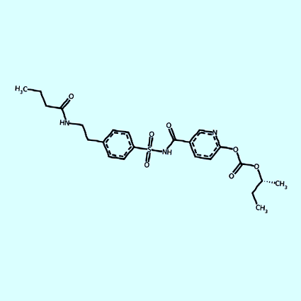 CCCC(=O)NCCc1ccc(S(=O)(=O)NC(=O)c2ccc(OC(=O)O[C@H](C)CC)nc2)cc1